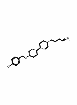 C=CCCC[C@H]1CC[C@H]([C@H]2CC[C@H](OCc3ccc(Cl)cc3)CC2)CC1